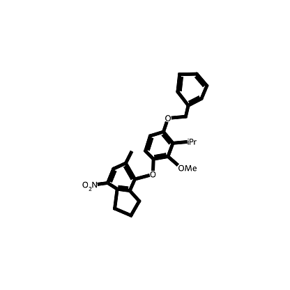 COc1c(Oc2c(C)cc([N+](=O)[O-])c3c2CCC3)ccc(OCc2ccccc2)c1C(C)C